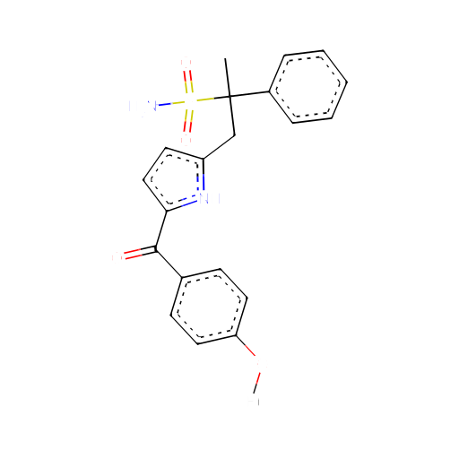 CCOc1ccc(C(=O)c2ccc(CC(C)(c3ccccc3)S(N)(=O)=O)[nH]2)cc1